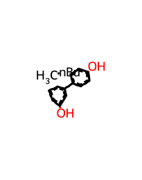 CCCCC.Oc1ccc(-c2cccc(O)c2)cc1